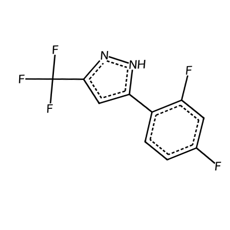 Fc1ccc(-c2cc(C(F)(F)F)n[nH]2)c(F)c1